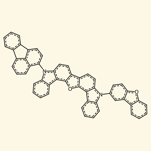 c1ccc2c(c1)-c1cccc3c(-n4c5ccccc5c5c6oc7c(ccc8c7c7ccccc7n8-c7ccc8oc9ccccc9c8c7)c6ccc54)ccc-2c13